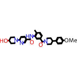 COc1ccc(C2CCN(C(=O)c3ccc(C)c(NC(=O)c4ccc(N5CCC(O)CC5)nc4)c3)CC2)cc1